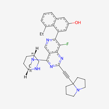 CCc1cccc2cc(O)cc(-c3ncc4c(N5C[C@H]6CC[C@@H]5CN6)nc(C#CC56CCCN5CCC6)nc4c3F)c12